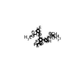 CCOC(=O)Cc1ccc(F)cc1OCc1cc(-c2ccnc(CN[S@@+]([O-])C(C)(C)C)c2)c2occ(C(F)(F)F)c2c1